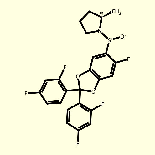 C[C@@H]1CCCN1[S+]([O-])c1cc2c(cc1F)OC(c1ccc(F)cc1F)(c1ccc(F)cc1F)O2